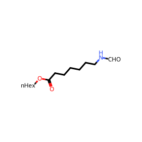 CCCCCCOC(=O)CCCCCCNC=O